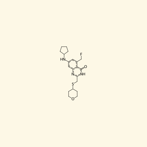 O=c1[nH]c(CSC2CCOCC2)nc2cc(NC3CCCC3)cc(CF)c12